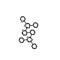 c1ccc(-c2cc(-c3ccccn3)nc(-c3ncccc3-c3ccccc3-c3nc(-c4ccccc4)cc(-c4ccccc4)n3)c2)cc1